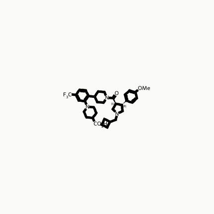 COc1ccc([C@@H]2CN(CC3CCC3)C[C@H]2C(=O)N2CCC(c3ccc(C(F)(F)F)cc3N3CCC(C(=O)O)CC3)CC2)cc1